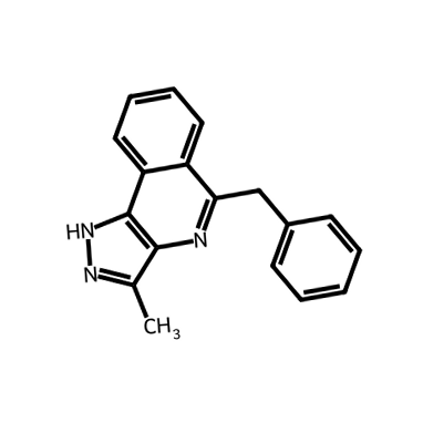 Cc1n[nH]c2c1nc(Cc1ccccc1)c1ccccc12